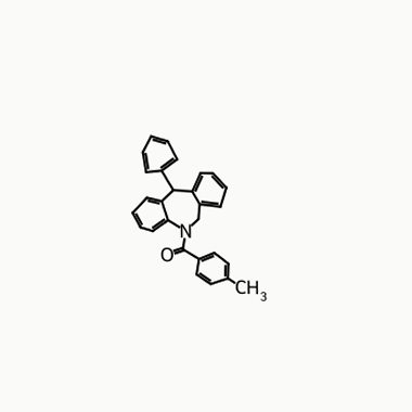 Cc1ccc(C(=O)N2Cc3ccccc3C(c3ccccc3)c3ccccc32)cc1